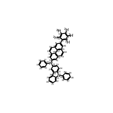 [2H]c1c([2H])c([2H])c(-c2cc3ccc4cc(N(c5ccccc5)c5ccc6c(c5)c5ccccc5n6-c5ccccc5)cc5ccc(c2)c3c45)c([2H])c1[2H]